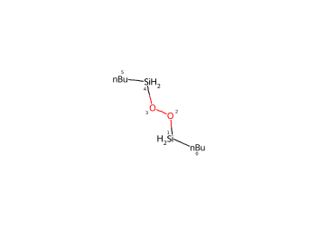 CCCC[SiH2]OO[SiH2]CCCC